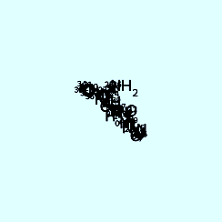 Cn1nc(-c2ncco2)cc1C(=O)N1C[C@@H]2[C@H](C1)[C@@H]2Oc1cc(C(C)(C)N)cc(N2CCC(C)(C)CC2)n1